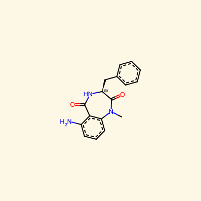 CN1C(=O)[C@H](Cc2ccccc2)NC(=O)c2c(N)cccc21